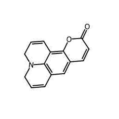 O=c1ccc2cc3c4c(c2o1)C=CCN4CC=C3